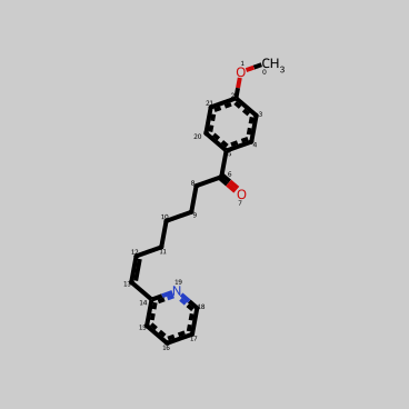 COc1ccc(C(=O)CCCC/C=C\c2ccccn2)cc1